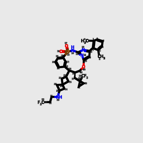 Cc1cccc(C)c1-c1cc2nc(n1)NS(=O)(=O)c1cccc(c1)C(C1CC3(CC(NCCC(F)(F)F)C3)C1)[C@H](CC1(C(F)(F)F)CC1)CO2